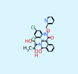 C[C@@H](O)[C@@H](CO)N1C(=O)c2ccccc2[C@H](C(=O)NOCc2ccccn2)[C@H]1c1ccc(Cl)cc1Cl